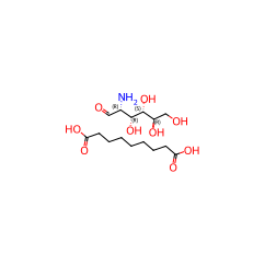 N[C@@H](C=O)[C@@H](O)[C@H](O)[C@H](O)CO.O=C(O)CCCCCCCC(=O)O